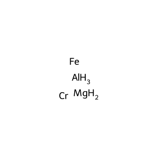 [AlH3].[Cr].[Fe].[MgH2]